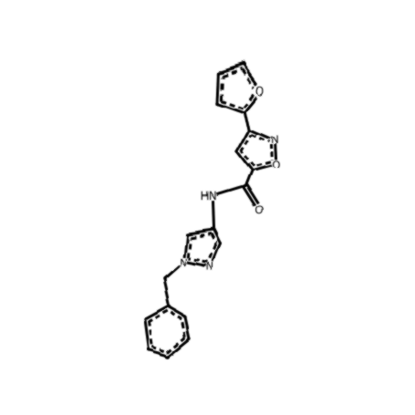 O=C(Nc1cnn(Cc2ccccc2)c1)c1cc(-c2ccco2)no1